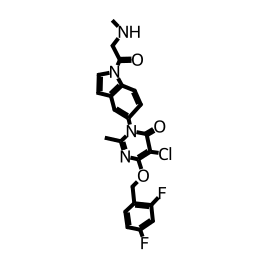 CNCC(=O)n1ccc2cc(-n3c(C)nc(OCc4ccc(F)cc4F)c(Cl)c3=O)ccc21